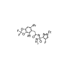 CCn1cc(F)c(S(N)(=O)=NC(=O)Cc2c(C(C)C)cc3c(c2C(C)C)OC(F)(F)O3)n1